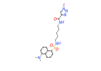 CN(C)c1cccc2c(S(=O)(=O)NCCCCCNC(=O)c3cn(I)nn3)cccc12